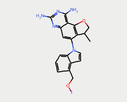 CC1COc2c1c(-n1ccc3c(COI)cccc31)cc1nc(N)nc(N)c21